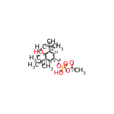 CC(=O)OP(=O)(O)OCc1cc(C(C)(C)C)c(O)c(C(C)(C)C)c1